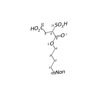 CCCCCCCCCCCCCOC(=O)C(CC(=O)O)S(=O)(=O)O